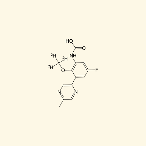 [2H]C([2H])([2H])Oc1c(NC(=O)O)cc(F)cc1-c1cnc(C)cn1